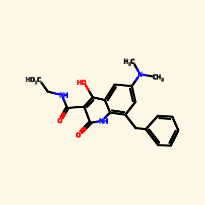 CN(C)c1cc(Cc2ccccc2)c2[nH]c(=O)c(C(=O)NCC(=O)O)c(O)c2c1